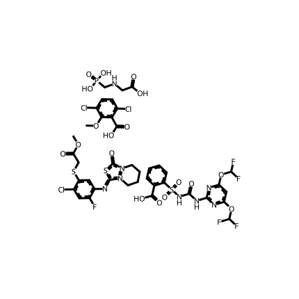 COC(=O)CSc1cc(/N=c2\sc(=O)n3n2CCCC3)c(F)cc1Cl.COc1c(Cl)ccc(Cl)c1C(=O)O.O=C(Nc1nc(OC(F)F)cc(OC(F)F)n1)NS(=O)(=O)c1ccccc1C(=O)O.O=C(O)CNCP(=O)(O)O